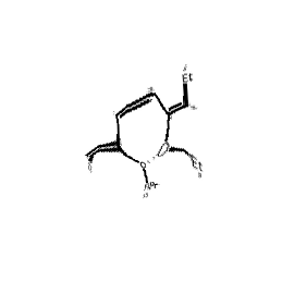 C=C(/C=C\C(=C/CC)OCC)OCCC